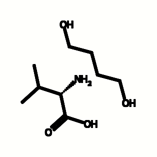 CC(C)[C@H](N)C(=O)O.OCCCCO